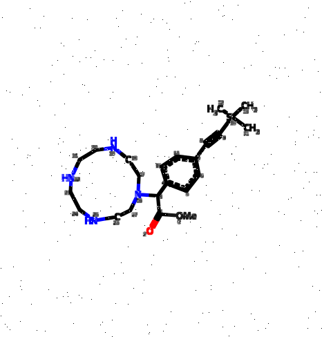 COC(=O)C(c1ccc(C#C[Si](C)(C)C)cc1)N1CCNCCNCCNCC1